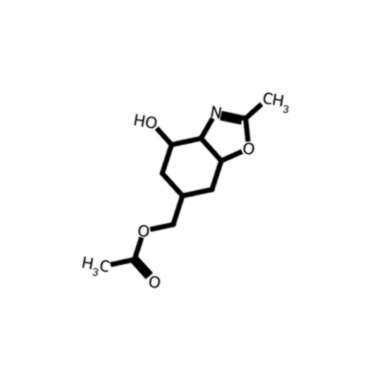 CC(=O)OCC1CC(O)C2N=C(C)OC2C1